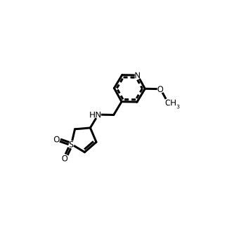 COc1cc(CNC2C=CS(=O)(=O)C2)ccn1